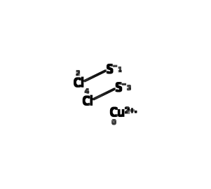 [Cu+2].[S-]Cl.[S-]Cl